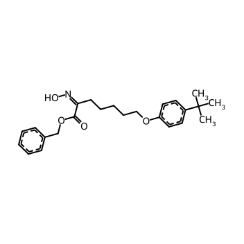 CC(C)(C)c1ccc(OCCCCC/C(=N/O)C(=O)OCc2ccccc2)cc1